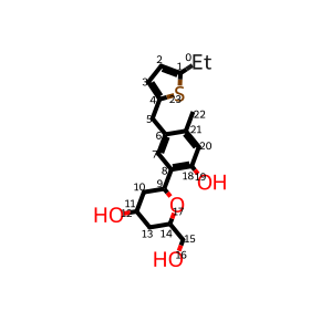 CCc1ccc(Cc2cc(C3CC(O)CC(CO)O3)c(O)cc2C)s1